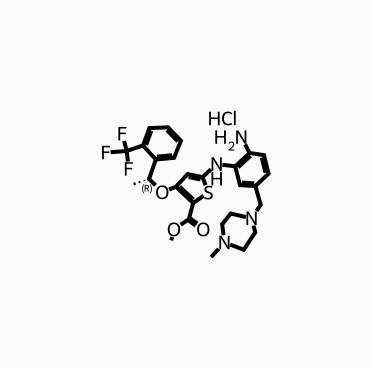 COC(=O)c1sc(Nc2cc(CN3CCN(C)CC3)ccc2N)cc1O[C@H](C)c1ccccc1C(F)(F)F.Cl